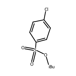 CCC(C)OS(=O)(=O)c1ccc(Cl)cc1